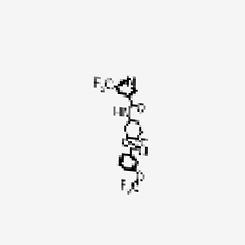 O=C(N[C@H]1CC[C@](F)(S(=O)(=O)c2cccc(OC(F)(F)F)c2)CC1)c1cncc(C(F)(F)F)c1